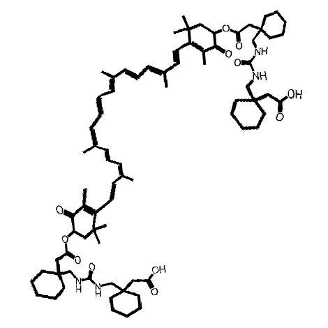 CC(C=CC=C(C)C=CC1=C(C)C(=O)C(OC(=O)CC2(CNC(=O)NCC3(CC(=O)O)CCCCC3)CCCCC2)CC1(C)C)=CC=CC=C(C)C=CC=C(C)C=CC1=C(C)C(=O)C(OC(=O)CC2(CNC(=O)NCC3(CC(=O)O)CCCCC3)CCCCC2)CC1(C)C